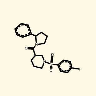 O=C(C1CCCN(S(=O)(=O)c2ccc(F)cc2)C1)N1CCCC1c1ccccc1